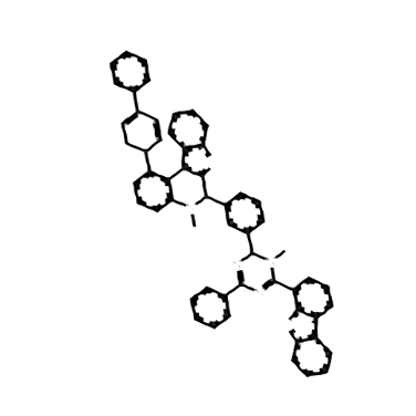 CN1C(c2cccc3c2sc2ccccc23)=NC(c2ccccc2)=NC1c1cccc(C2c3oc4ccccc4c3-c3c(C4C=CC(c5ccccc5)=CC4)cccc3N2C)c1